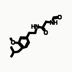 COc1cc(CCNC(=O)CNC=O)ccc1CC(C)C